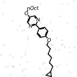 CCCCCCCCOc1cnc(-c2ccc(OCCCCCCC3CC3)cc2)nc1